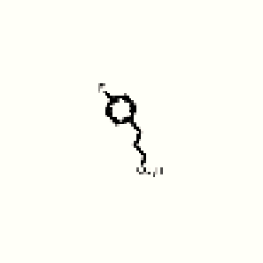 O=C(O)C[CH]Cc1ccc(F)cc1